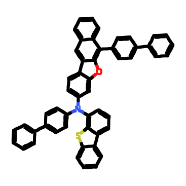 c1ccc(-c2ccc(-c3c4ccccc4cc4c3oc3cc(N(c5ccc(-c6ccccc6)cc5)c5cccc6c5sc5ccccc56)ccc34)cc2)cc1